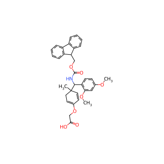 COc1ccc(C(NC(=O)OCC2c3ccccc3-c3ccccc32)C2(C)C=CC(OCC(=O)O)=CC2)c(OC)c1